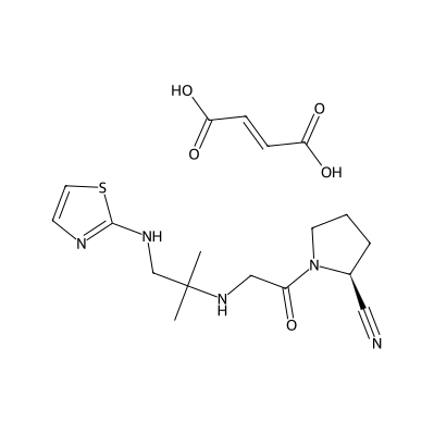 CC(C)(CNc1nccs1)NCC(=O)N1CCC[C@H]1C#N.O=C(O)/C=C/C(=O)O